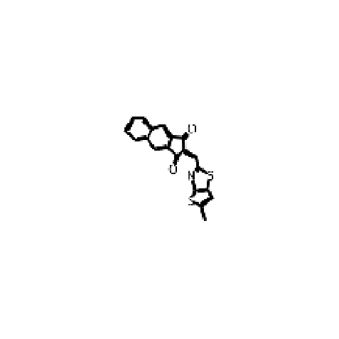 Cc1cc2sc(C=C3C(=O)c4cc5ccccc5cc4C3=O)nc2s1